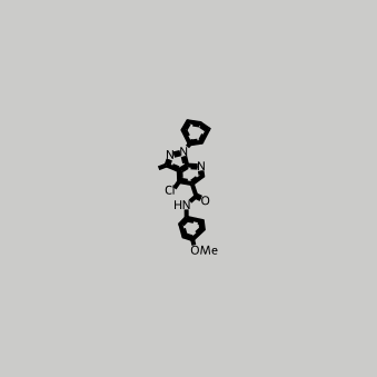 COc1ccc(NC(=O)c2cnc3c(c(C)nn3-c3ccccc3)c2Cl)cc1